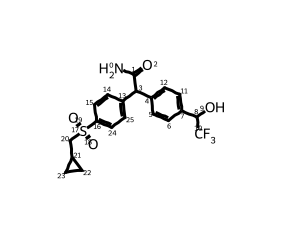 NC(=O)C(c1ccc(C(O)C(F)(F)F)cc1)c1ccc(S(=O)(=O)CC2CC2)cc1